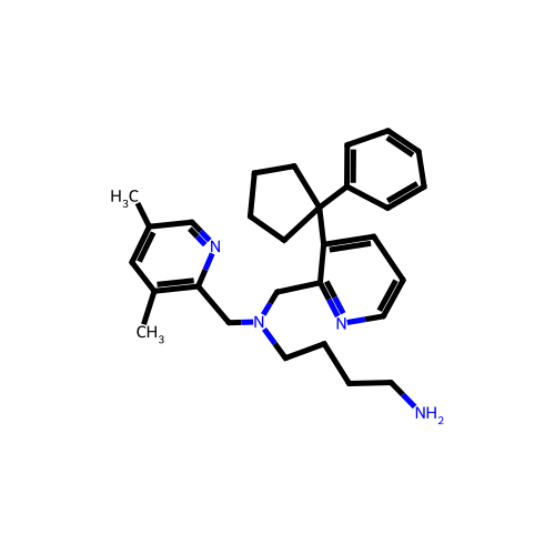 Cc1cnc(CN(CCCCN)Cc2ncccc2C2(c3ccccc3)CCCC2)c(C)c1